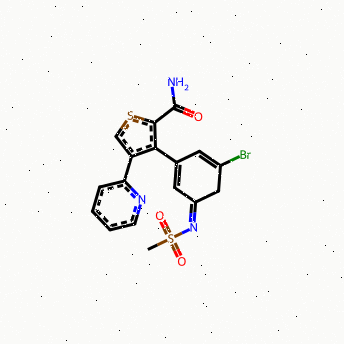 CS(=O)(=O)N=C1C=C(c2c(-c3ccccn3)csc2C(N)=O)C=C(Br)C1